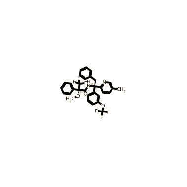 CO[C@](C(=O)N[C@@](Cc1ccccc1)(c1cccc(OC(F)(F)F)c1)c1ccc(C)cn1)(c1ccccc1)C(F)(F)F